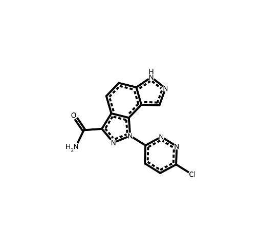 NC(=O)c1nn(-c2ccc(Cl)nn2)c2c1ccc1[nH]ncc12